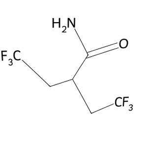 NC(=O)C(CC(F)(F)F)CC(F)(F)F